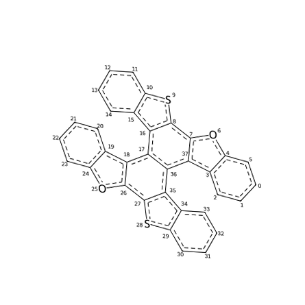 c1ccc2c(c1)oc1c3sc4ccccc4c3c3c4c5ccccc5oc4c4sc5ccccc5c4c3c21